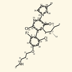 CC[C@H](C)Cn1c(-c2c(F)cc(OCCCNC)cc2Cl)c(Cl)nc(-n2ccc(C)n2)c1=O